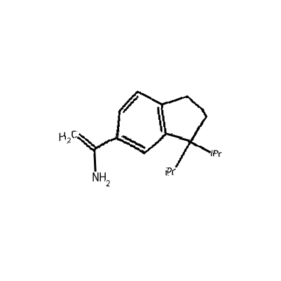 C=C(N)c1ccc2c(c1)C(C(C)C)(C(C)C)CC2